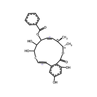 C[C@@H]1/C=C\C(OC(=O)c2ccccc2)C(O)C(O)C/C=C/c2cc(O)cc(O)c2C(=O)O[C@H]1C